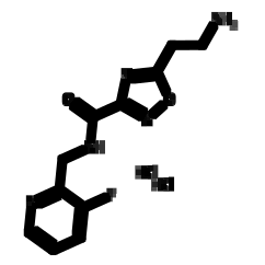 Cl.Cl.NCCc1nc(C(=O)NCc2ncccc2F)no1